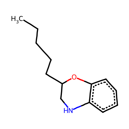 CCCCCC1CNc2ccccc2O1